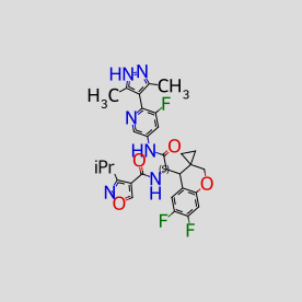 Cc1n[nH]c(C)c1-c1ncc(NC(=O)[C@@H](NC(=O)c2conc2C(C)C)C2c3cc(F)c(F)cc3OCC23CC3)cc1F